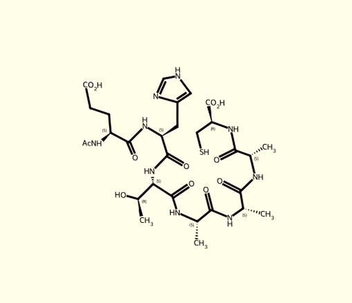 CC(=O)N[C@@H](CCC(=O)O)C(=O)N[C@@H](Cc1c[nH]cn1)C(=O)N[C@H](C(=O)N[C@@H](C)C(=O)N[C@@H](C)C(=O)N[C@@H](C)C(=O)N[C@@H](CS)C(=O)O)[C@@H](C)O